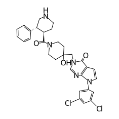 O=C([C@@H]1CCNC[C@H]1c1ccccc1)N1CCC(O)(Cn2cnc3c(ccn3-c3cc(Cl)cc(Cl)c3)c2=O)CC1